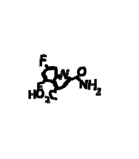 NC(=O)c1cc(C(=O)O)c2c(F)cc(F)cc2n1